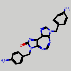 Nc1ccc(Cn2c3ncnc4c(ncn4Cc4ccc(N)cc4)c-3nc2=O)cc1